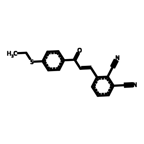 CCSc1ccc(C(=O)C=Cc2cccc(C#N)c2C#N)cc1